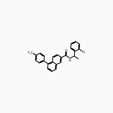 CC(NC(=O)c1ccc2c(-c3ccc(C(F)(F)F)cc3)cccc2c1)c1ccccc1Cl